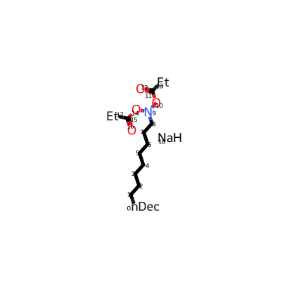 CCCCCCCCCCCCCCCCCCN(OC(=O)CC)OC(=O)CC.[NaH]